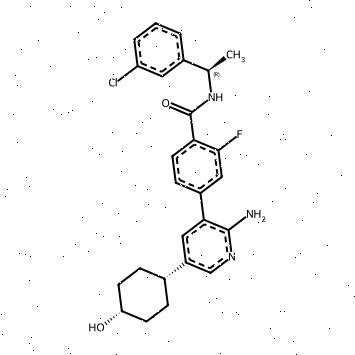 C[C@@H](NC(=O)c1ccc(-c2cc([C@H]3CC[C@@H](O)CC3)cnc2N)cc1F)c1cccc(Cl)c1